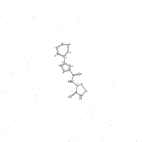 O=C(NC1CCNC1=O)c1cnc(-c2ccccn2)s1